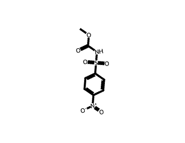 COC(=O)NS(=O)(=O)c1ccc([N+](=O)[O-])cc1